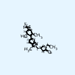 CCN1C[C@H](Cn2nc3nc(-c4c(C)cc(C(F)(F)F)cc4O)ccc3c2C)CC1=O